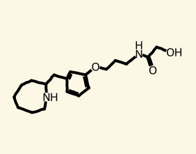 O=C(CO)NCCCOc1cccc(CC2CCCCCCN2)c1